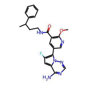 COc1ncc(-c2c(F)cc3c(N)ncnn23)cc1C(=O)NCCC(C)c1ccccc1